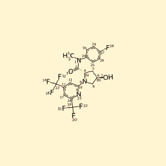 CN(C(=O)[C@@H]1C[C@@H](O)CN1c1cc(C(F)(F)F)cc(C(F)(F)F)n1)c1ccc(F)cc1